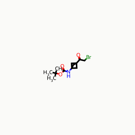 CC(C)(C)OC(=O)NC12CC(C(=O)CBr)(C1)C2